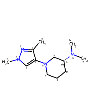 Cc1nn(C)cc1N1CCC[C@@H](N(C)C)C1